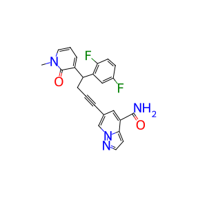 Cn1cccc(C(CC#Cc2cc(C(N)=O)c3ccnn3c2)c2cc(F)ccc2F)c1=O